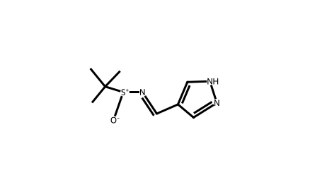 CC(C)(C)[S+]([O-])N=Cc1cn[nH]c1